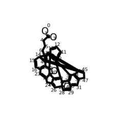 COC(=O)CCCC1(c2ccccc2)C23C=CC4=C5C67OC68C(=C4)CC4=CC69C=Cc%10cc%11c%12c(c(c7c7c%12c%10C6(O9)C7=C48)C521)C(=C3)C%11